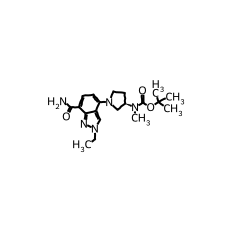 CCn1cc2c(N3CC[C@@H](N(C)C(=O)OC(C)(C)C)C3)ccc(C(N)=O)c2n1